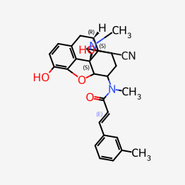 Cc1cccc(/C=C/C(=O)N(C)C2CC[C@@]3(O)[C@H]4Cc5ccc(O)c6c5[C@@]3(CC(C#N)N4C)C2O6)c1